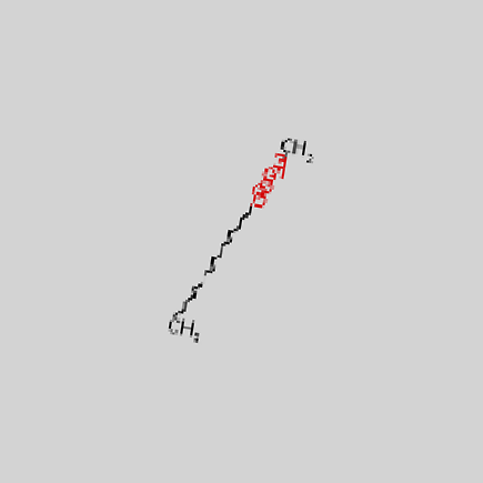 C=COOOOOOCCCCCCCCCCCCCCCCCC